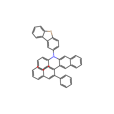 c1ccc(-c2cc3ccccc3cc2-c2cc3ccccc3cc2N(c2ccccc2)c2ccc3sc4ccccc4c3c2)cc1